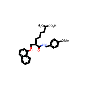 COc1ccc(CNC(=O)C(=CCCCC(C)C(=O)O)COc2cccc3ccccc23)cc1